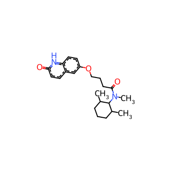 CC1CCCC(C)C1N(C)C(=O)CCCOc1ccc2[nH]c(=O)ccc2c1